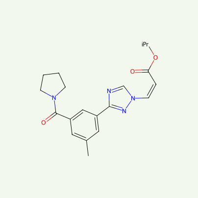 Cc1cc(C(=O)N2CCCC2)cc(-c2ncn(/C=C\C(=O)OC(C)C)n2)c1